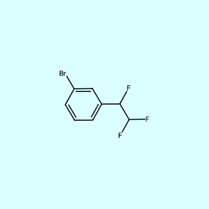 FC(F)C(F)c1cccc(Br)c1